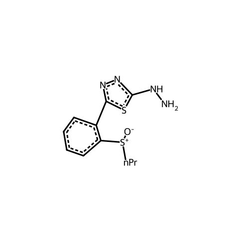 CCC[S+]([O-])c1ccccc1-c1nnc(NN)s1